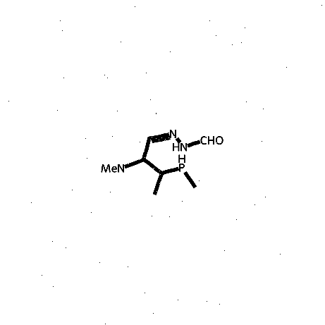 CNC(/C=N\NC=O)C(C)PC